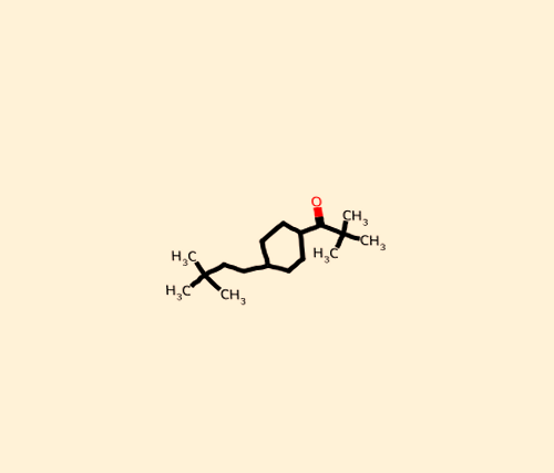 CC(C)(C)CCC1CCC(C(=O)C(C)(C)C)CC1